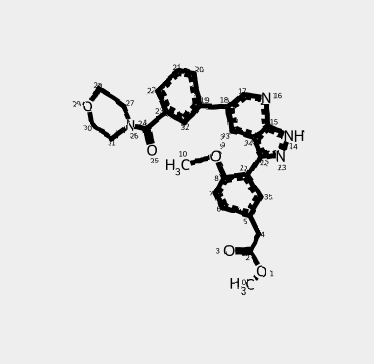 COC(=O)Cc1ccc(OC)c(-c2n[nH]c3ncc(-c4cccc(C(=O)N5CCOCC5)c4)cc23)c1